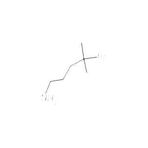 CC(C)(Br)CCCN